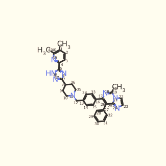 Cc1ccc(-c2nc(C3CCN(Cc4ccc(-c5nc(C)n6ccnc6c5-c5ccccc5)cc4)CC3)n[nH]2)nc1C